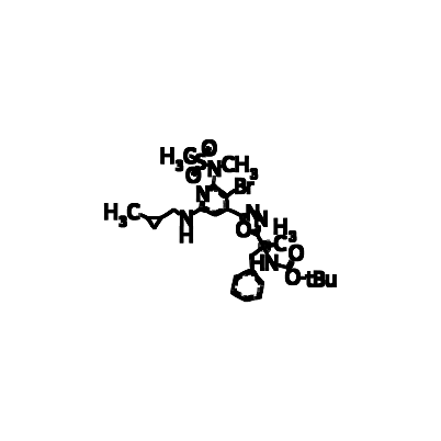 CC1CC1CNc1cc(-c2nnc([C@@](C)(Cc3ccccc3)NC(=O)OC(C)(C)C)o2)c(Br)c(N(C)S(C)(=O)=O)n1